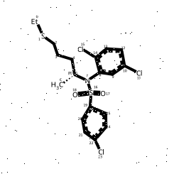 CCSCCC[C@@H](C)N(c1cc(Cl)ccc1Cl)S(=O)(=O)c1ccc(Cl)cc1